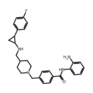 Nc1ccccc1NC(=O)c1ccc(CN2CCC(CNC3CC3c3ccc(F)cc3)CC2)cc1